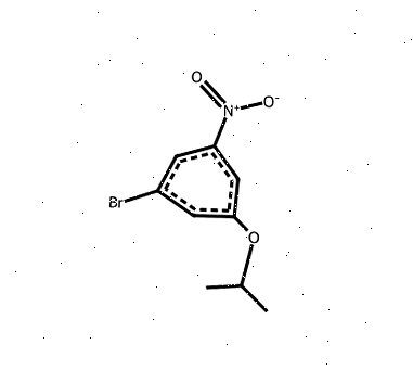 CC(C)Oc1cc(Br)cc([N+](=O)[O-])c1